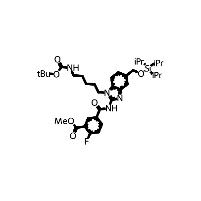 COC(=O)c1cc(C(=O)Nc2nc3cc(CO[Si](C(C)C)(C(C)C)C(C)C)ccc3n2CCCCCNC(=O)OC(C)(C)C)ccc1F